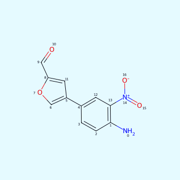 Nc1ccc(-c2coc(C=O)c2)cc1[N+](=O)[O-]